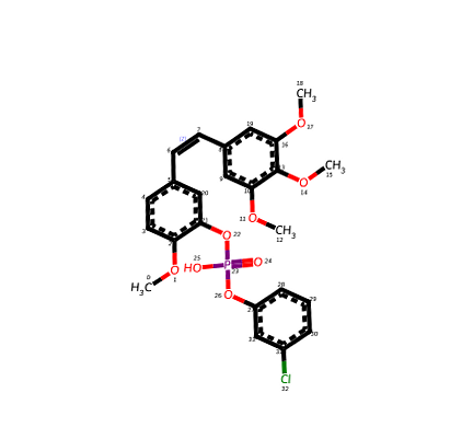 COc1ccc(/C=C\c2cc(OC)c(OC)c(OC)c2)cc1OP(=O)(O)Oc1cccc(Cl)c1